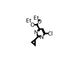 CCOC(OCC)c1cc(Cl)nc(C2CC2)n1